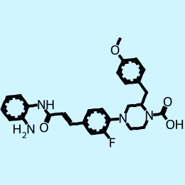 COc1ccc(CC2CN(c3ccc(C=CC(=O)Nc4ccccc4N)cc3F)CCN2C(=O)O)cc1